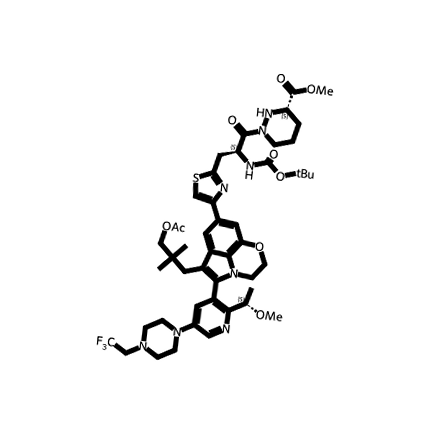 COC(=O)[C@@H]1CCCN(C(=O)[C@H](Cc2nc(-c3cc4c5c(c3)c(CC(C)(C)COC(C)=O)c(-c3cc(N6CCN(CC(F)(F)F)CC6)cnc3[C@H](C)OC)n5CCO4)cs2)NC(=O)OC(C)(C)C)N1